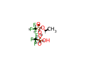 CCOS(=O)(=O)C(F)(F)F.O=S(=O)(O)C(F)(F)F